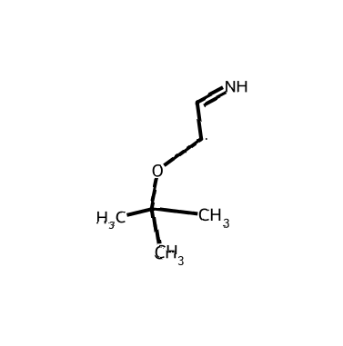 CC(C)(C)O[CH]C=N